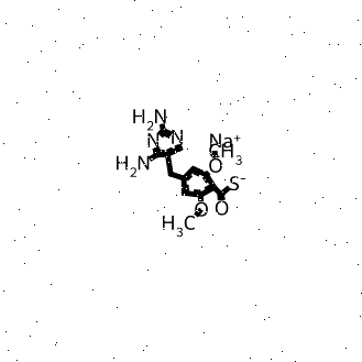 COc1cc(Cc2cnc(N)nc2N)cc(OC)c1C(=O)[S-].[Na+]